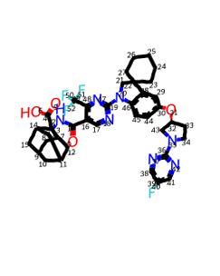 O=C(NC1(C(=O)O)C2CC3CC(C2)CC1C3)c1cnc(N2CC3(CCCCC3)c3cc(O[C@H]4CCN(c5ncc(F)cn5)C4)ccc32)nc1C(F)(F)F